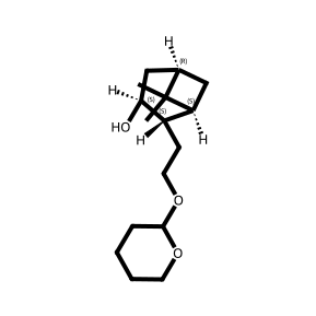 CC1(C)[C@H]2C[C@H](O)[C@@H](CCOC3CCCCO3)[C@@H]1C2